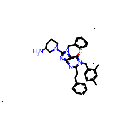 Cc1ccc(Cn2c(CCc3ccccc3)nc3nc(N4CCCC(N)C4)n(Cc4ccccc4)c3c2=O)c(C)c1